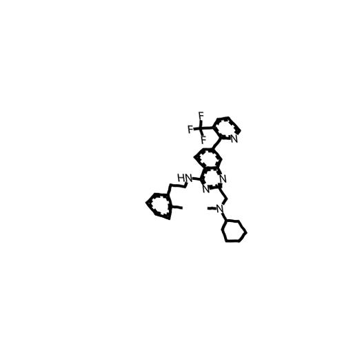 Cc1ccccc1CCNc1nc(CN(C)C2CCCCC2)nc2cc(-c3ncccc3C(F)(F)F)ccc12